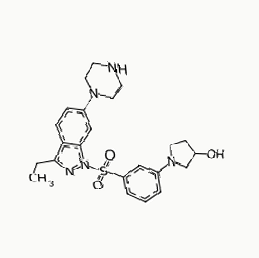 CCc1nn(S(=O)(=O)c2cccc(N3CCC(O)C3)c2)c2cc(N3CCNCC3)ccc12